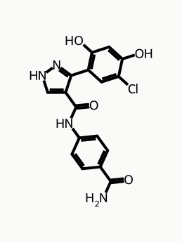 NC(=O)c1ccc(NC(=O)c2c[nH]nc2-c2cc(Cl)c(O)cc2O)cc1